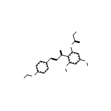 CCOc1ccc(C=CC(=O)c2c(OC)cc(OC)cc2OC(=O)CC)cc1